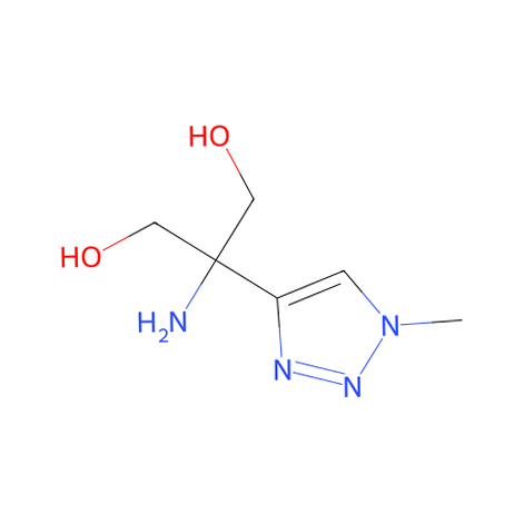 Cn1cc(C(N)(CO)CO)nn1